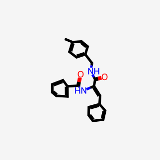 Cc1ccc(CNC(=O)/C(=C/c2ccccc2)NC(=O)c2ccccc2)cc1